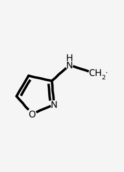 [CH2]Nc1ccon1